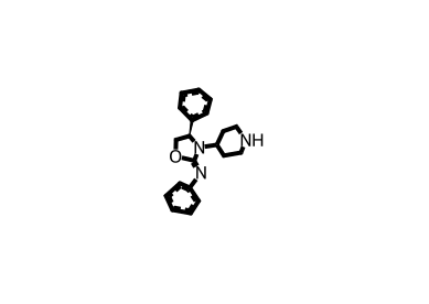 c1ccc(N=C2OC[C@@H](c3ccccc3)N2C2CCNCC2)cc1